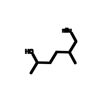 CCCCCC(C)CCC(C)O